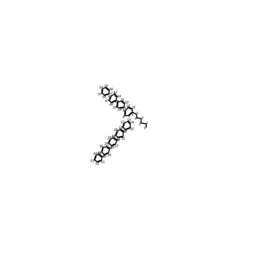 CCCCCCc1ccccc1.c1ccccc1.c1ccccc1.c1ccccc1.c1ccccc1.c1ccccc1.c1ccccc1.c1ccccc1.c1ccccc1